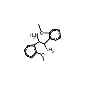 COc1ccccc1C(N)C(N)c1ccccc1OC